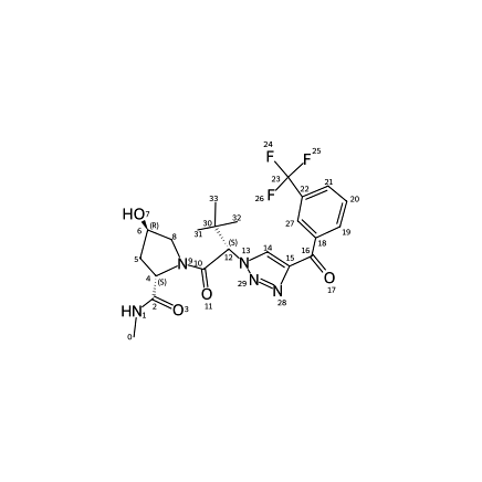 CNC(=O)[C@@H]1C[C@@H](O)CN1C(=O)[C@@H](n1cc(C(=O)c2cccc(C(F)(F)F)c2)nn1)C(C)(C)C